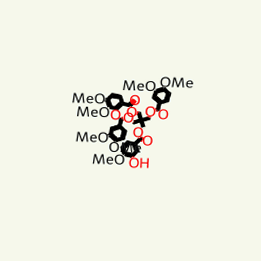 COc1ccc(C(=O)OCC(COC(=O)c2ccc(OC)c(OC)c2)(COC(=O)c2ccc(OC)c(OC)c2)COC(=O)c2ccc(OC)c(OC)c2)cc1O